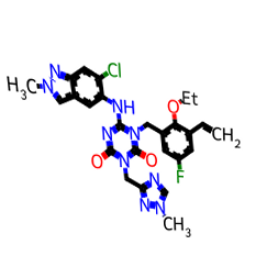 C=Cc1cc(F)cc(Cn2c(Nc3cc4cn(C)nc4cc3Cl)nc(=O)n(Cc3ncn(C)n3)c2=O)c1OCC